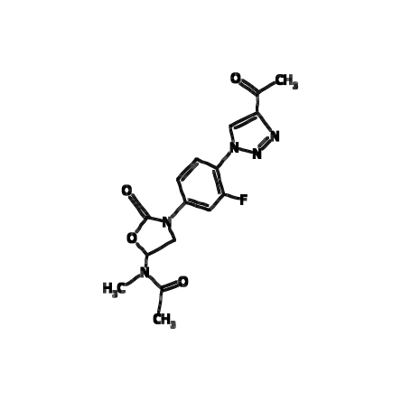 CC(=O)c1cn(-c2ccc(N3CC(N(C)C(C)=O)OC3=O)cc2F)nn1